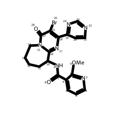 COc1ncccc1C(=O)NC1CCCCn2c1nc(-c1ccncn1)c(Br)c2=O